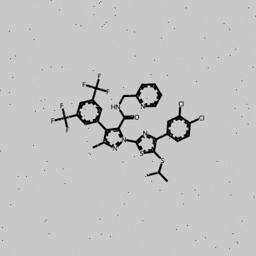 Cc1nn(-c2nc(-c3ccc(Cl)c(Cl)c3)c(SC(C)C)s2)c(C(=O)NCc2ccccn2)c1-c1cc(C(F)(F)F)cc(C(F)(F)F)c1